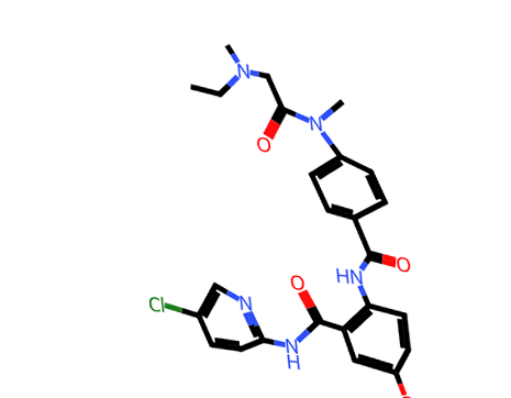 CCN(C)CC(=O)N(C)c1ccc(C(=O)Nc2ccc(OC)cc2C(=O)Nc2ccc(Cl)cn2)cc1